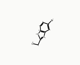 ClCc1nc2cc(Br)ccc2o1